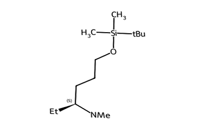 CC[C@@H](CCCO[Si](C)(C)C(C)(C)C)NC